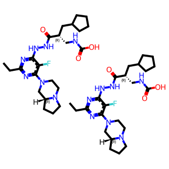 CCc1nc(NNC(=O)[C@@H](CNC(=O)O)CC2CCCC2)c(F)c(N2CCN3CCC[C@@H]3C2)n1.CCc1nc(NNC(=O)[C@@H](CNC(=O)O)CC2CCCC2)c(F)c(N2CCN3CCC[C@@H]3C2)n1